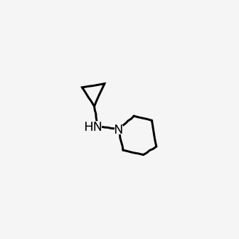 C1CCN(NC2CC2)CC1